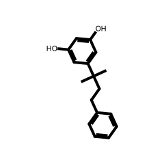 CC(C)(CCc1ccccc1)c1cc(O)cc(O)c1